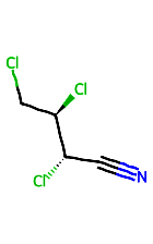 N#C[C@H](Cl)[C@H](Cl)CCl